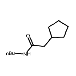 [CH2]CCCNC(=O)CC1CCCC1